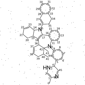 CC1=CNC(c2cccc(N3c4ccccc4C4=C(C5CCC=CC5N4C4=Cc5ccccc5CC4)C4C=CCC(C)C43C)c2)C=N1